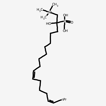 CCC/C=C\CCC/C=C\CCCCCCCC(O)(C[N+](C)(C)C)P(=O)(O)O